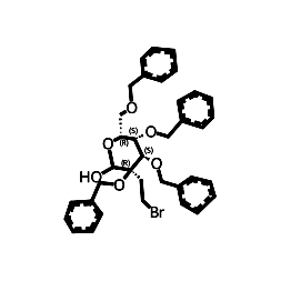 OC1O[C@H](COCc2ccccc2)[C@H](OCc2ccccc2)[C@H](OCc2ccccc2)[C@@]1(CCBr)OCc1ccccc1